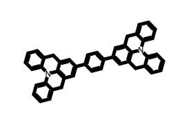 c1ccc2c(c1)Cc1cc(-c3ccc(-c4cc5c6c(c4)Cc4ccccc4N6c4ccccc4C5)cc3)cc3c1N2c1ccccc1C3